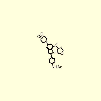 CC(=O)Nc1ccc(-c2cc3cc(N4CCS(=O)(=O)CC4)cc(N(C)C4CCOCC4)c3[nH]2)cc1